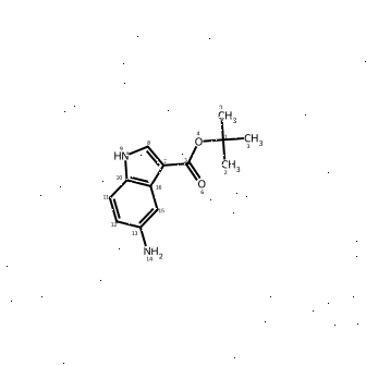 CC(C)(C)OC(=O)c1c[nH]c2ccc(N)cc12